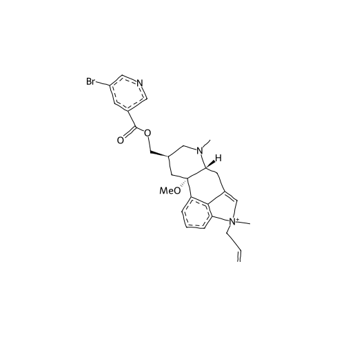 C=CC[N+]1(C)C=C2C[C@H]3N(C)C[C@H](COC(=O)c4cncc(Br)c4)C[C@]3(OC)c3cccc1c32